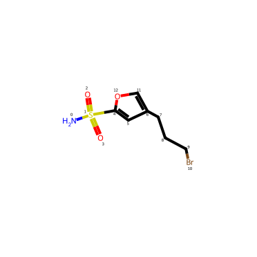 NS(=O)(=O)c1cc(CCCBr)co1